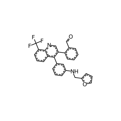 O=Cc1ccccc1-c1cnc2c(C(F)(F)F)cccc2c1-c1cccc(NCc2ccco2)c1